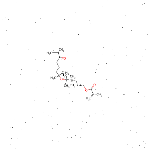 C=C(C)C(=O)CCC[Si](C)(C)OC(C)(C)[Si](C)(C)CCCOC(=O)C(=C)C